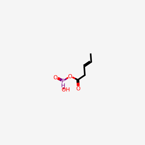 C/C=C/CC(=O)O[PH](=O)O